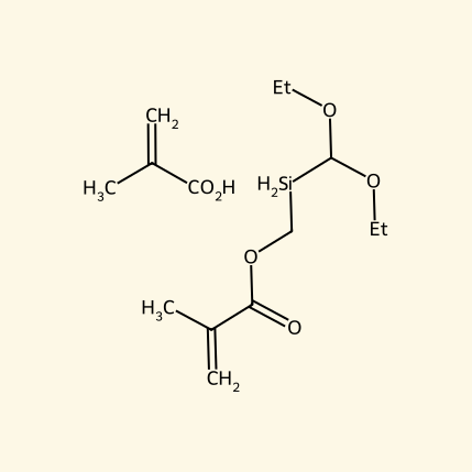 C=C(C)C(=O)O.C=C(C)C(=O)OC[SiH2]C(OCC)OCC